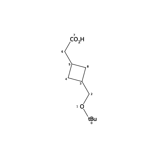 CC(C)(C)OCC1CC(CC(=O)O)C1